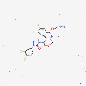 CN(C(=O)Nc1ccc(F)c(Cl)c1)C1COCc2nc(OCCN)c3cc(F)c(F)cc3c21